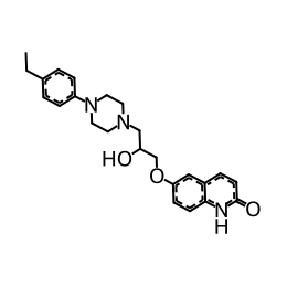 CCc1ccc(N2CCN(CC(O)COc3ccc4[nH]c(=O)ccc4c3)CC2)cc1